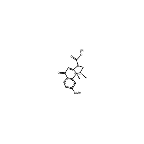 COc1ccc2c(c1)[C@]1(C)C(=CC2=O)N(C(=O)OC(C)(C)C)C[C@H]1C